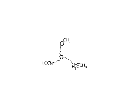 C\C=C/C(C)=C\C=N\CCCCCc1cc(CCCCC[n+]2ccc(C)cc2)cc(CCCCC[n+]2ccc(C)cc2)c1